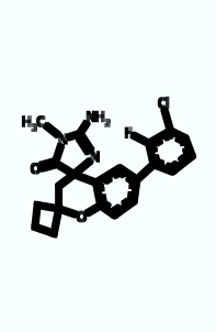 CN1C(=O)C2(CC3(CCC3)Oc3ccc(-c4cccc(Cl)c4F)cc32)N=C1N